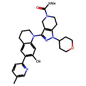 CNC(=O)N1CCc2c(c(N3CCCc4cc(-c5ccc(C)cn5)c(C#N)cc43)nn2C2CCOCC2)C1